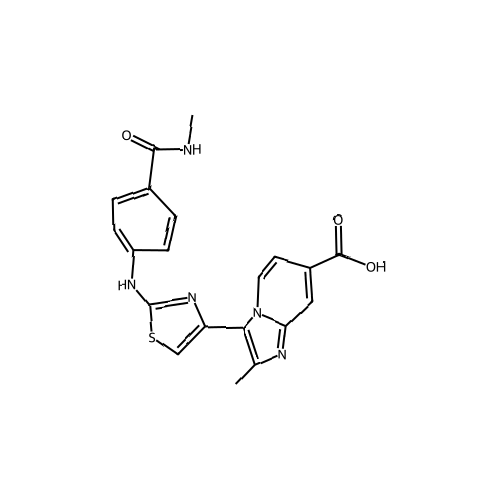 CNC(=O)c1ccc(Nc2nc(-c3c(C)nc4cc(C(=O)O)ccn34)cs2)cc1